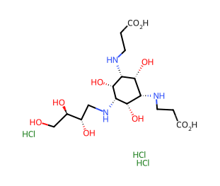 Cl.Cl.Cl.O=C(O)CCN[C@@H]1[C@H](O)[C@H](NCCC(=O)O)[C@H](O)[C@H](NC[C@H](O)[C@H](O)CO)[C@@H]1O